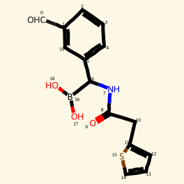 O=Cc1cccc(C(NC(=O)Cc2cccs2)B(O)O)c1